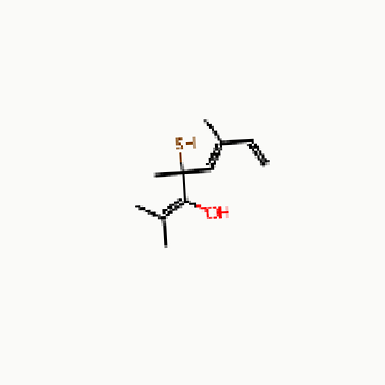 C=CC(C)=CC(C)(S)C(O)=C(C)C